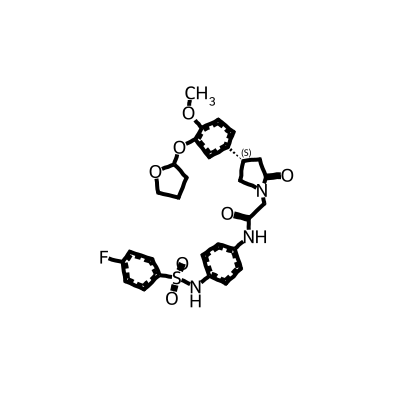 COc1ccc([C@@H]2CC(=O)N(CC(=O)Nc3ccc(NS(=O)(=O)c4ccc(F)cc4)cc3)C2)cc1OC1CCCO1